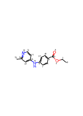 CCOC(=O)c1ccc(Nc2ccnc(C)c2)cc1